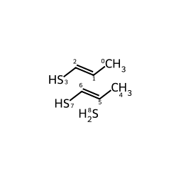 C/C=C/S.C/C=C/S.S